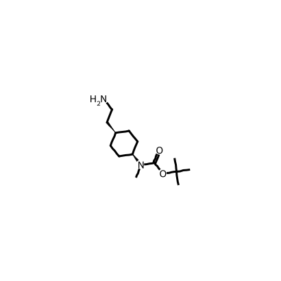 CN(C(=O)OC(C)(C)C)[C@H]1CC[C@@H](CCN)CC1